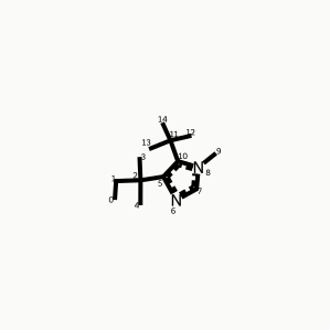 CCC(C)(C)c1ncn(C)c1C(C)(C)C